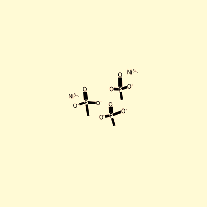 CP(=O)([O-])[O-].CP(=O)([O-])[O-].CP(=O)([O-])[O-].[Ni+3].[Ni+3]